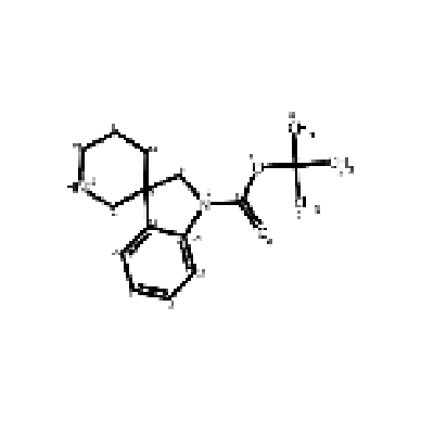 CC(C)(C)OC(=O)N1CC2(CCCNC2)c2ccccc21